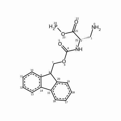 NC[C@H](NC(=O)OCC1c2ccccc2-c2ccccc21)C(=O)OP